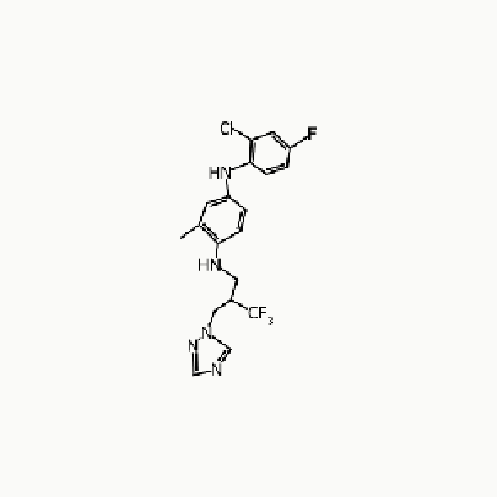 Cc1cc(Nc2ccc(F)cc2Cl)ccc1NCC(Cn1cncn1)C(F)(F)F